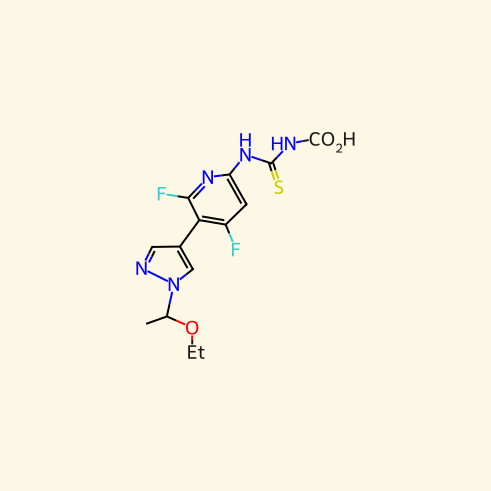 CCOC(C)n1cc(-c2c(F)cc(NC(=S)NC(=O)O)nc2F)cn1